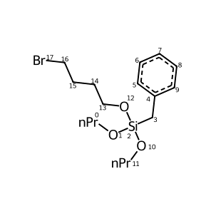 CCCO[Si](Cc1ccccc1)(OCCC)OCCCCBr